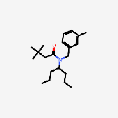 CCCC(CCC)N(Cc1cccc(C)c1)C(=O)CC(C)(C)C